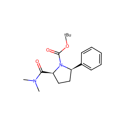 CN(C)C(=O)[C@@H]1CC[C@H](c2ccccc2)N1C(=O)OC(C)(C)C